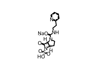 O=C(NCCc1ccccn1)N1CC[C@@H]2[C@H]1C(=O)N2S(=O)(=O)O.[Na]